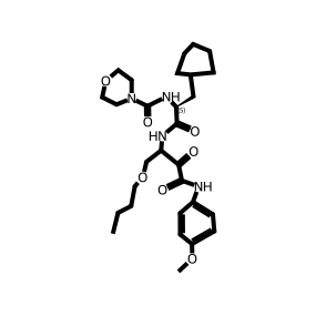 CCCCOCC(NC(=O)[C@H](CC1CCCCC1)NC(=O)N1CCOCC1)C(=O)C(=O)Nc1ccc(OC)cc1